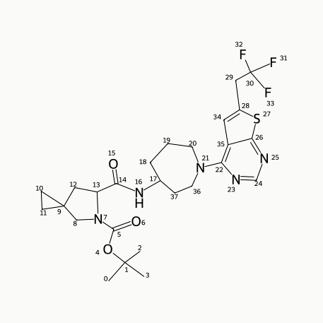 CC(C)(C)OC(=O)N1CC2(CC2)CC1C(=O)NC1CCCN(c2ncnc3sc(CC(F)(F)F)cc23)CC1